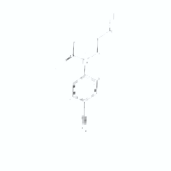 CC(=O)N(CCCCl)c1ccc(C#N)cc1